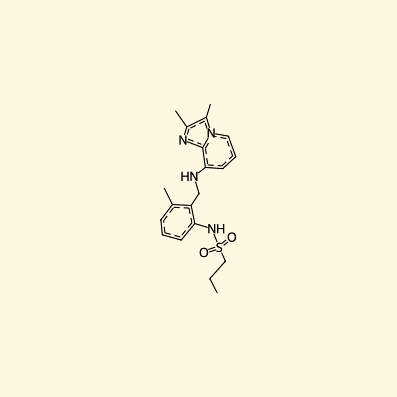 CCCS(=O)(=O)Nc1cccc(C)c1CNc1cccn2c(C)c(C)nc12